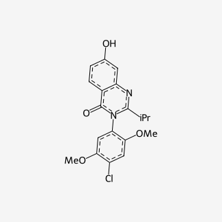 COc1cc(-n2c(C(C)C)nc3cc(O)ccc3c2=O)c(OC)cc1Cl